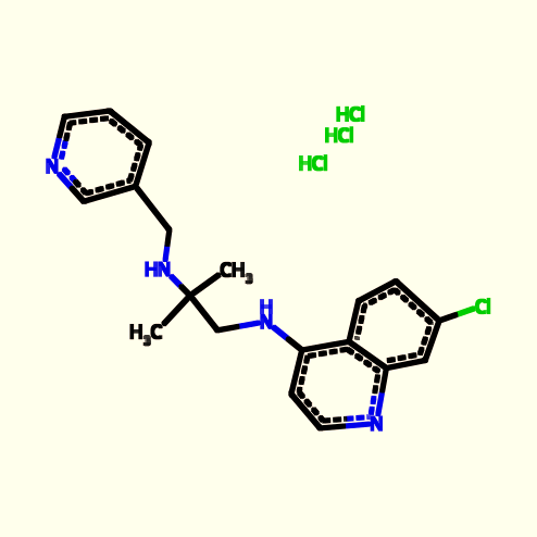 CC(C)(CNc1ccnc2cc(Cl)ccc12)NCc1cccnc1.Cl.Cl.Cl